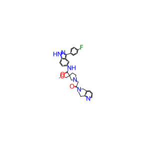 COCC1(C(=O)Nc2ccc3[nH]nc(-c4ccc(F)cc4)c3c2)CCN(CC(=O)N2CCc3ncccc3C2)C1